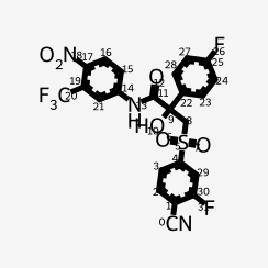 N#Cc1ccc(S(=O)(=O)CC(O)(C(=O)Nc2ccc([N+](=O)[O-])c(C(F)(F)F)c2)c2ccc(F)cc2)cc1F